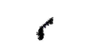 C/C(=C\CC/C(C)=C/CC[C@]1(C)CCc2c(C)c(O[SiH](C)C)c(C)c(C)c2O1)CCC=C(CF)CF